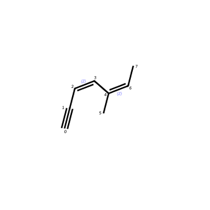 C#C/C=C\C(C)=C/C